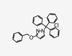 Clc1ccccc1C(c1ccccc1)(c1ccccc1)n1ccc(OCc2ccccc2)n1